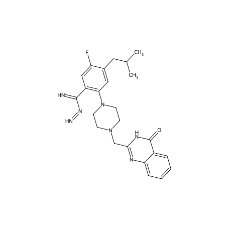 CC(C)Cc1cc(N2CCN(Cc3nc4ccccc4c(=O)[nH]3)CC2)c(C(=N)N=N)cc1F